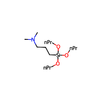 CCCO[Si](CCCN(C)C)(OCCC)OCCC